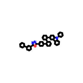 c1ccc(-c2cccc(-c3nnc(-c4ccc(-c5ccccc5-c5ccccc5-c5ccc6c(c5)c5ccccc5n6-c5ccccc5)cc4)o3)c2)cc1